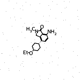 CCO[C@H]1CC[C@H](c2ccc(N)c3c2CN(C)C3=O)CC1